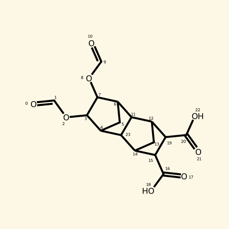 O=COC1C2CC(C1OC=O)C1C3CC(C(C(=O)O)C3C(=O)O)C21